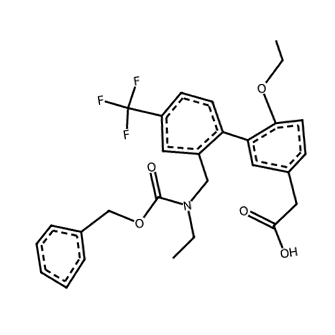 CCOc1ccc(CC(=O)O)cc1-c1ccc(C(F)(F)F)cc1CN(CC)C(=O)OCc1ccccc1